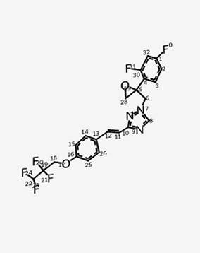 Fc1ccc(C2(Cn3cnc(C=Cc4ccc(OCC(F)(F)C(F)F)cc4)n3)CO2)c(F)c1